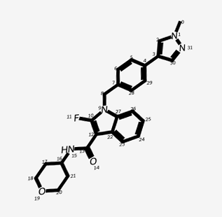 Cn1cc(-c2ccc(Cn3c(F)c(C(=O)NC4CCOCC4)c4ccccc43)cc2)cn1